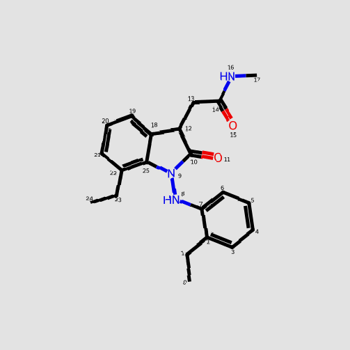 CCc1ccccc1NN1C(=O)C(CC(=O)NC)c2cccc(CC)c21